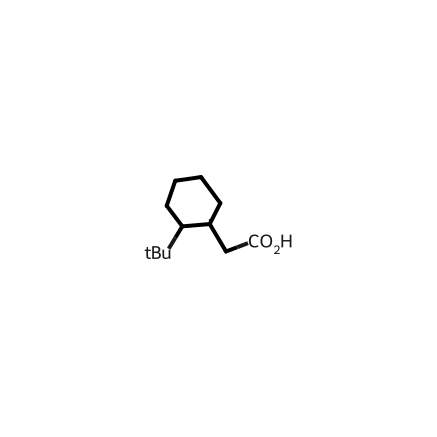 CC(C)(C)C1CCCC[C]1CC(=O)O